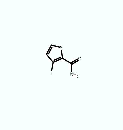 NC(=O)c1sccc1I